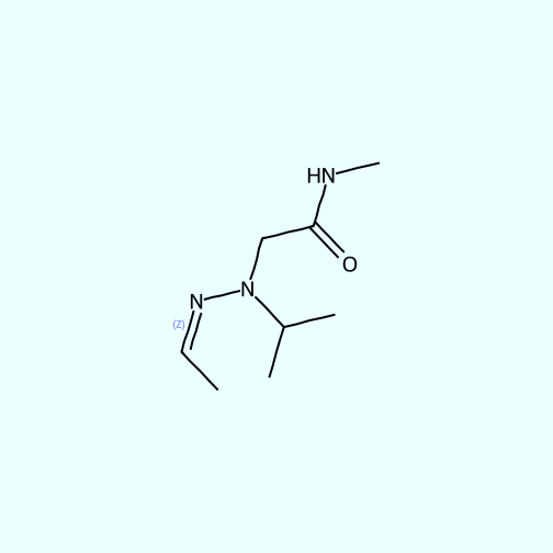 C/C=N\N(CC(=O)NC)C(C)C